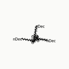 CCCCCCCCCCCCCCCCCCOC(=O)C(C)(COC(=O)C(=O)CCCCCCCCCCCCCCCCC)COC(=O)C(=O)CCCCCCCCCCCCCCCCC